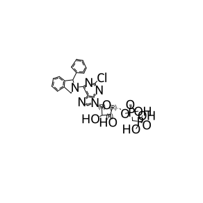 O=P(O)(O)CP(=O)(O)OC[C@H]1O[C@@H](n2cnc3c(N4Cc5ccccc5C4c4ccccc4)nc(Cl)nc32)C(O)[C@H]1O